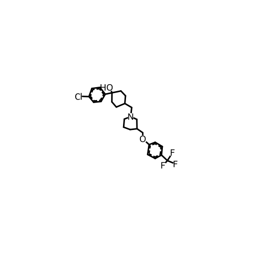 OC1(c2ccc(Cl)cc2)CCC(CN2CCCC(COc3ccc(C(F)(F)F)cc3)C2)CC1